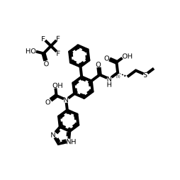 CSCC[C@H](NC(=O)c1ccc(N(C(=O)O)c2ccc3[nH]cnc3c2)cc1-c1ccccc1)C(=O)O.O=C(O)C(F)(F)F